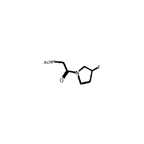 CC(=O)NCC(=O)N1CCC(F)C1